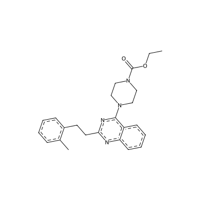 CCOC(=O)N1CCN(c2nc(CCc3ccccc3C)nc3ccccc23)CC1